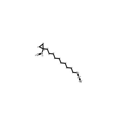 [N-]=[N+]=NCCCCCCCCCCC1(N=O)CC1